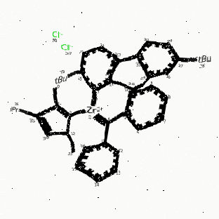 CC1=[C]([Zr+2](=[C](c2ccccc2)c2ccccc2)[c]2c(C(C)(C)C)ccc3c2Cc2cc(C(C)(C)C)ccc2-3)C(C)C=C1C(C)C.[Cl-].[Cl-]